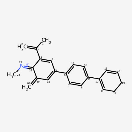 C=C(C)C1=CC(c2ccc(C3=CCCC=C3)cc2)=CC(=C)/C1=N\C